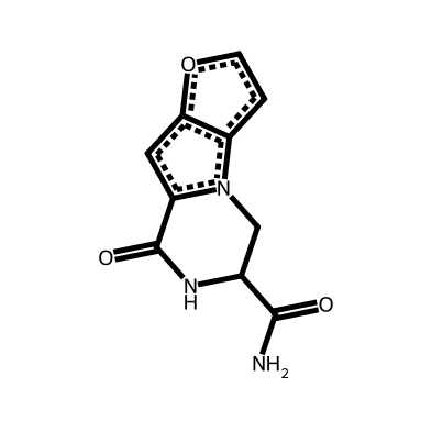 NC(=O)C1Cn2c(cc3occc32)C(=O)N1